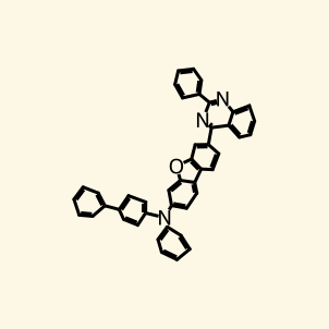 c1ccc(-c2ccc(N(c3ccccc3)c3ccc4c(c3)oc3cc(-c5nc(-c6ccccc6)nc6ccccc56)ccc34)cc2)cc1